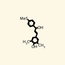 CSc1ccc(C(O)/C=C/c2cc(C)c(O)c(C)c2)cc1